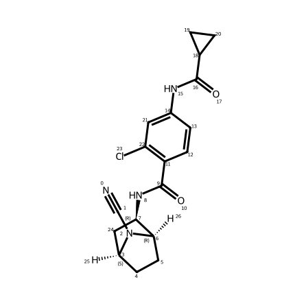 N#CN1[C@H]2CC[C@@H]1[C@H](NC(=O)c1ccc(NC(=O)C3CC3)cc1Cl)C2